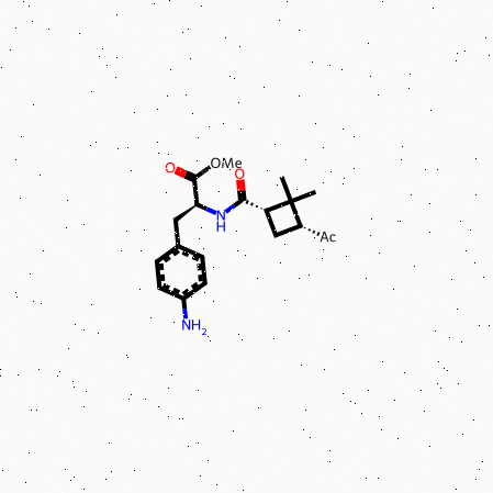 COC(=O)[C@H](Cc1ccc(N)cc1)NC(=O)[C@H]1C[C@@H](C(C)=O)C1(C)C